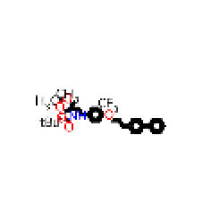 CC(C)(C)OC(=O)NC1(CCc2ccc(OCCCc3ccc(-c4ccccc4)cc3)c(C(F)(F)F)c2)COC(C)(C)OC1